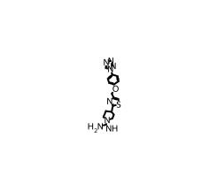 N=C(N)N1CCC(c2nc(COc3ccc(-n4cnnn4)cc3)cs2)CC1